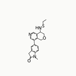 CCSNC1COCc2c(-c3ccc4c(c3)CC(=O)N4C)cncc21